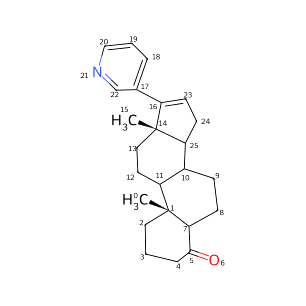 C[C@]12CCCC(=O)C1CCC1C2CC[C@]2(C)C(c3cccnc3)=CCC12